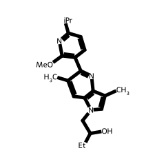 CCC(O)Cn1cc(C)c2nc(-c3ccc(C(C)C)nc3OC)c(C)cc21